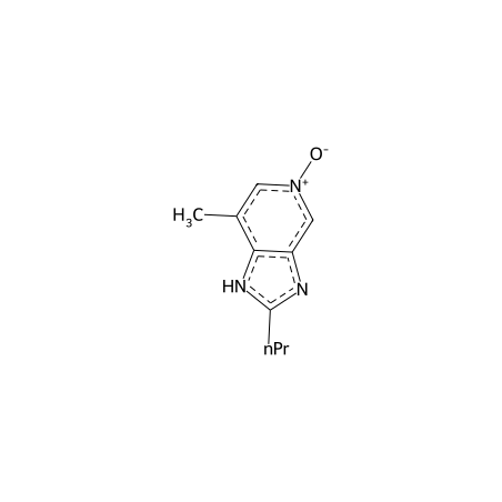 CCCc1nc2c[n+]([O-])cc(C)c2[nH]1